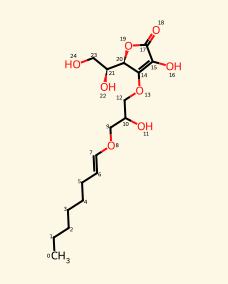 CCCCCCC=COCC(O)COC1=C(O)C(=O)O[C@@H]1[C@@H](O)CO